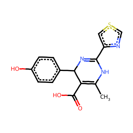 CC1=C(C(=O)O)C(c2ccc(O)cc2)N=C(c2cscn2)N1